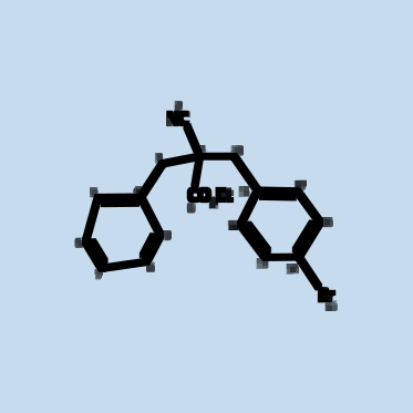 CCOC(=O)C(C#N)(Cc1ccccc1)Cc1ccc(Br)cc1